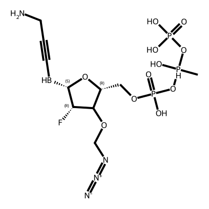 C[PH](O)(OP(=O)(O)O)OP(=O)(O)OC[C@H]1O[C@@H](BC#CCN)[C@@H](F)C1OCN=[N+]=[N-]